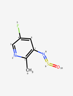 Cc1ncc(F)cc1N=S=O